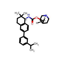 CC(C)c1cccc(-c2ccc3c(c2)CCC(C)(C)[C@H]3NC(=O)O[C@@H]2CN3CCC2CC3)c1